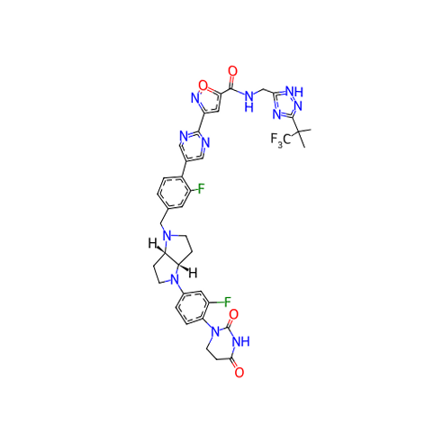 CC(C)(c1n[nH]c(CNC(=O)c2cc(-c3ncc(-c4ccc(CN5CC[C@H]6[C@@H]5CCN6c5ccc(N6CCC(=O)NC6=O)c(F)c5)cc4F)cn3)no2)n1)C(F)(F)F